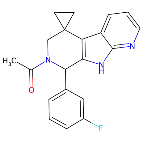 CC(=O)N1CC2(CC2)c2c([nH]c3ncccc23)C1c1cccc(F)c1